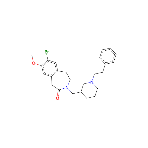 COc1cc2c(cc1Br)CCN(CC1CCCN(CCc3ccccc3)C1)C(=O)C2